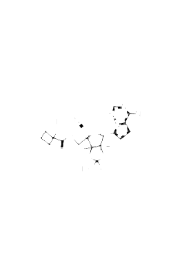 CC1(C)O[C@H]2[C@H](c3ccc4c(N)ncnn34)O[C@](C#N)(COC(=O)C3(C)CCC3)[C@H]2O1